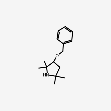 CC1(C)CC(OCc2ccccc2)C(C)(C)N1